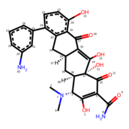 CN(C)[C@H]1C(O)=C(C(N)=O)C(=O)[C@]2(O)C(O)=C3C(=O)c4c(O)ccc(-c5cccc(N)c5)c4C[C@@H]3C[C@H]12